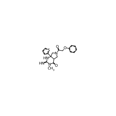 CN1C(=N)NC2(c3cccs3)CN(C(=O)COc3ccccc3)CC2C1=O